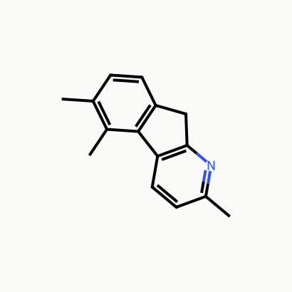 Cc1ccc2c(n1)Cc1ccc(C)c(C)c1-2